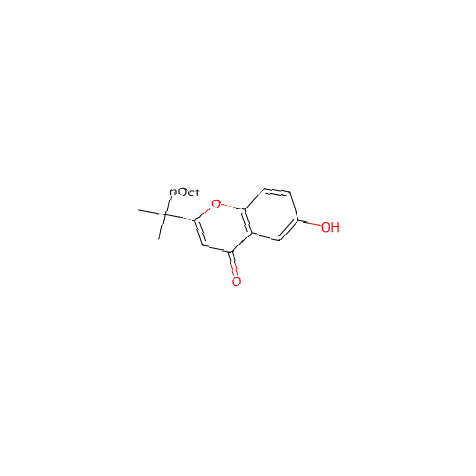 CCCCCCCCC(C)(C)c1cc(=O)c2cc(O)ccc2o1